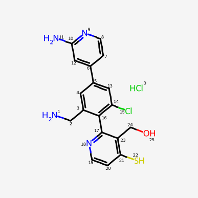 Cl.NCc1cc(-c2ccnc(N)c2)cc(Cl)c1-c1nccc(S)c1CO